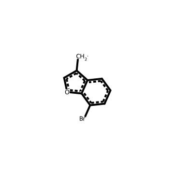 [CH2]c1coc2c(Br)cccc12